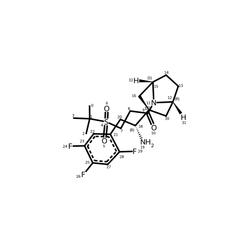 CC(C)(C)S(=O)(=O)CCC(=O)N1[C@@H]2CC[C@H]1C[C@H]([C@H](N)Cc1cc(F)c(F)cc1F)C2